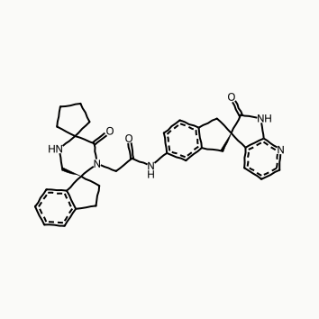 O=C(CN1C(=O)C2(CCCC2)NC[C@]12CCc1ccccc12)Nc1ccc2c(c1)C[C@@]1(C2)C(=O)Nc2ncccc21